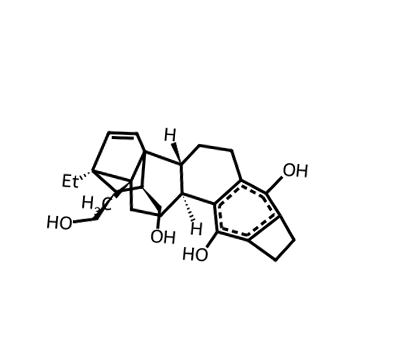 CC[C@]12C=CC3([C@@H]4CCc5c(O)c6c(c(O)c5[C@H]4CC[C@@]31C)CC6)[C@@H](CO)[C@H]2CO